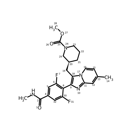 CNC(=O)c1cc(F)c(-c2nc3cc(C)ccn3c2C[C@@H]2CCCN(C(=O)OC)C2)c(F)c1